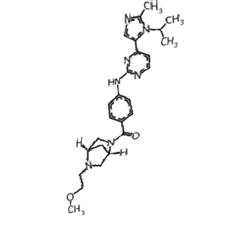 COCCN1C[C@@H]2C[C@H]1CN2C(=O)c1ccc(Nc2nccc(-c3cnc(C)n3C(C)C)n2)cc1